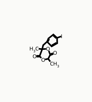 CC1OC(=O)C(C)(Cc2ccc(I)cc2)OC1=O